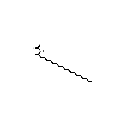 CCCCCCCCCCCCCCCCC[CH]C(C)NC(C)=O